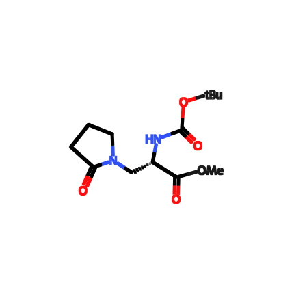 COC(=O)[C@H](CN1CCCC1=O)NC(=O)OC(C)(C)C